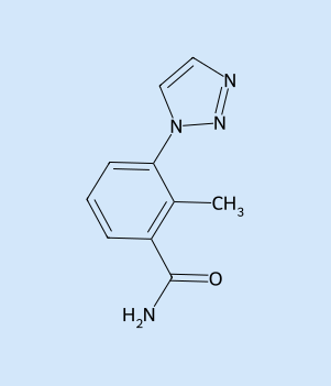 Cc1c(C(N)=O)cccc1-n1ccnn1